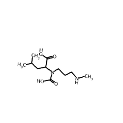 CNCCCN(C(=O)O)C(CC(C)C)C(=O)O